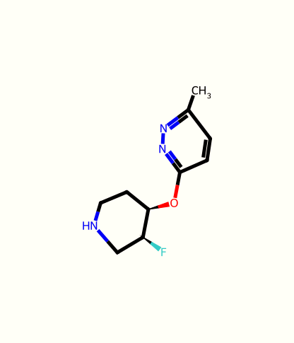 Cc1ccc(O[C@@H]2CCNC[C@@H]2F)nn1